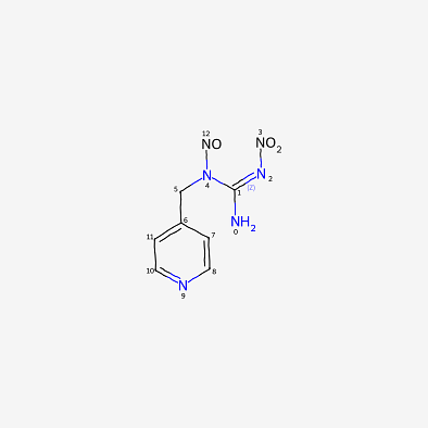 N/C(=N/[N+](=O)[O-])N(Cc1ccncc1)N=O